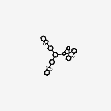 c1ccc2c(c1)Sc1ccccc1C21c2ccccc2-c2cc(-c3cc(-c4ccc(-c5nc6ccccc6o5)cc4)cc(-c4ccc(-c5nc6ccccc6o5)cc4)c3)ccc21